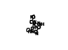 O=C(Nc1cncc(-c2ccc3[nH]nc(-c4nc5c(-c6ccccn6)cccc5[nH]4)c3n2)c1)C1CCCCC1